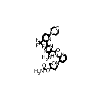 NC(=O)OC1CCN(c2cccnc2NC(=O)c2nc(-c3nc(N4CCOCC4)ccc3C(F)(F)F)cnc2N)CC1